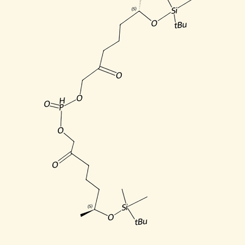 C[C@@H](CCCC(=O)CO[PH](=O)OCC(=O)CCC[C@H](C)O[Si](C)(C)C(C)(C)C)O[Si](C)(C)C(C)(C)C